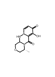 C[C@@H]1COCC2Nn3ccc(=O)c(O)c3C(=O)N21